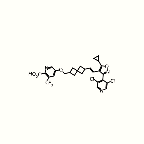 O=C(O)c1ncc(OCC2CC3(CC(/C=C/c4c(-c5c(Cl)cncc5Cl)noc4C4CC4)C3)C2)cc1C(F)(F)F